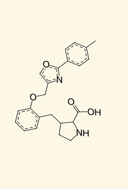 Cc1ccc(-c2nc(COc3ccccc3CC3CCNC3C(=O)O)co2)cc1